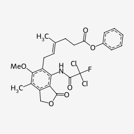 COc1c(C)c2c(c(NC(=O)C(F)(Cl)Cl)c1C/C=C(\C)CCC(=O)Oc1ccccc1)C(=O)OC2